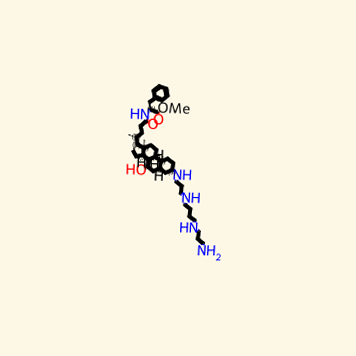 COC(=O)[C@H](Cc1ccccc1)NC(=O)CC[C@@H](C)[C@H]1CC[C@H]2[C@@H]3[C@H](O)C[C@@H]4C[C@@H](NCCCNCCCCNCCCN)CC[C@]4(C)[C@H]3CC[C@]12C